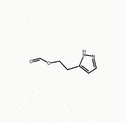 O=COCCc1ccn[nH]1